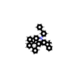 CC1(C)c2ccccc2-c2ccc(N(c3cccc(-c4ccccc4)c3)c3cccc(C4(c5ccccc5)c5ccccc5-c5ccccc5-c5ccccc54)c3)cc21